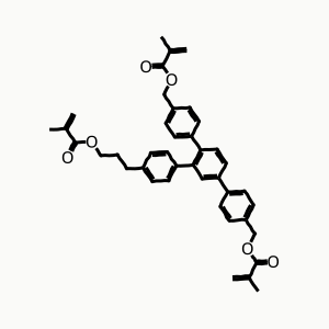 C=C(C)C(=O)OCCCc1ccc(-c2cc(-c3ccc(COC(=O)C(=C)C)cc3)ccc2-c2ccc(COC(=O)C(=C)C)cc2)cc1